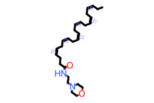 CC/C=C\C/C=C\C/C=C\C/C=C\C/C=C\C/C=C\CCC(=O)NCCN1CCOCC1